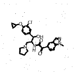 Cn1ncc2cc(C(=O)C(=O)NC(CN3CCCC3)C(O)c3ccc(OC4CC4)c(Cl)c3)ccc21